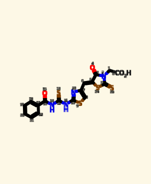 O=C(O)CN1C(=O)/C(=C/c2csc(NC(=S)NC(=O)c3ccccc3)n2)SC1=S